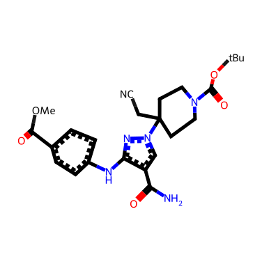 COC(=O)c1ccc(Nc2nn(C3(CC#N)CCN(C(=O)OC(C)(C)C)CC3)cc2C(N)=O)cc1